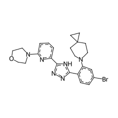 Brc1ccc(-c2nnc(-c3cccc(N4CCOCC4)n3)[nH]2)c(N2CCC3(CC2)CC3)c1